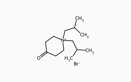 CC(C)C[N+]1(CC(C)C)CCC(=O)CC1.[Br-]